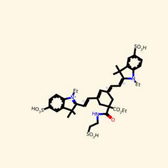 CCOC(=O)C1(C(=O)NCCS(=O)(=O)O)CC(/C=C/C2=[N+](CC)c3ccc(S(=O)(=O)O)cc3C2(C)C)=CC(=C/C=C2/N(CC)c3ccc(S(=O)(=O)O)cc3C2(C)C)/C1